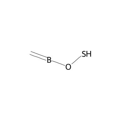 C=BOS